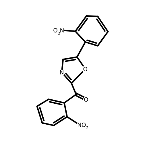 O=C(c1ncc(-c2ccccc2[N+](=O)[O-])o1)c1ccccc1[N+](=O)[O-]